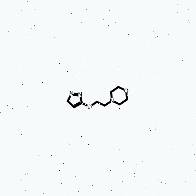 C1=C(OCCN2CCOCC2)N=NC1